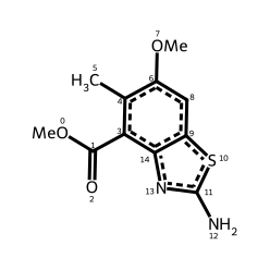 COC(=O)c1c(C)c(OC)cc2sc(N)nc12